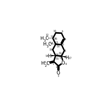 C=C1C(=O)O[C@H]2CC3=CCC[C@@H](C)[C@]3(C)C[C@@H]12